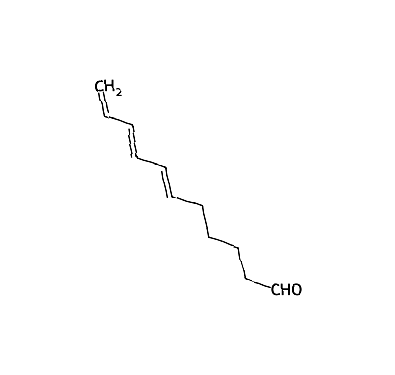 C=CC=CC=CCCCCC=O